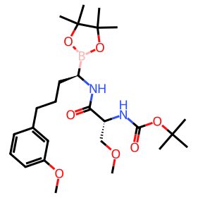 COC[C@@H](NC(=O)OC(C)(C)C)C(=O)N[C@@H](CCCc1cccc(OC)c1)B1OC(C)(C)C(C)(C)O1